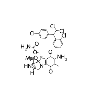 CO[C@@]12[C@H](COC(N)=O)C3=C(C(=O)C(C)=C(N)C3=O)N1C[C@@H]1N[C@@H]12.Clc1ccc(C(c2ccccc2Cl)C(Cl)Cl)cc1